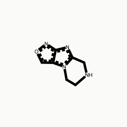 c1onc2nc3n(c12)CCNC3